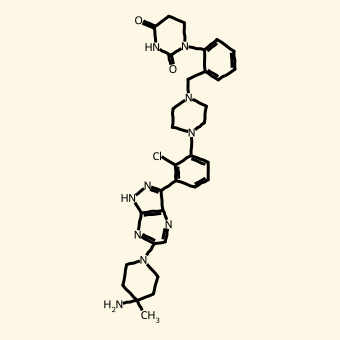 CC1(N)CCN(c2cnc3c(-c4cccc(N5CCN(Cc6ccccc6N6CCC(=O)NC6=O)CC5)c4Cl)n[nH]c3n2)CC1